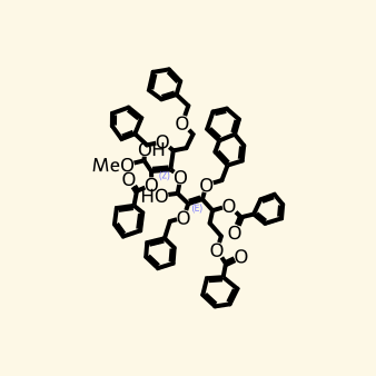 COC(O)/C(OC(=O)c1ccccc1)=C(/OC(O)/C(OCc1ccccc1)=C(\OCc1ccc2ccccc2c1)C(CCOC(=O)c1ccccc1)OC(=O)c1ccccc1)C(CCOCc1ccccc1)OCc1ccccc1